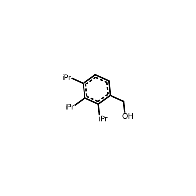 CC(C)c1ccc(CO)c(C(C)C)c1C(C)C